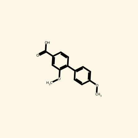 COc1ccc(-c2ccc(C(=O)O)cc2OC)cc1